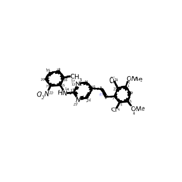 COc1cc(OC)c(Cl)c(/C=C/c2cnc(Nc3c(C)cccc3[N+](=O)[O-])nc2)c1Cl